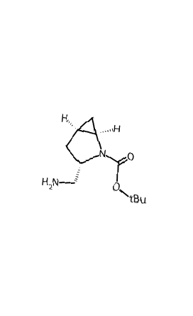 CC(C)(C)OC(=O)N1[C@H](CN)C[C@H]2C[C@H]21